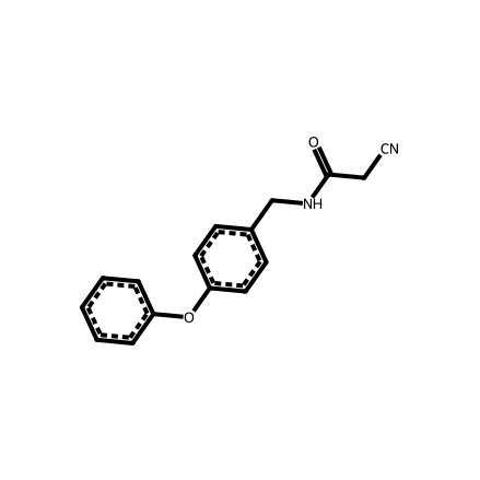 N#CCC(=O)NCc1ccc(Oc2ccccc2)cc1